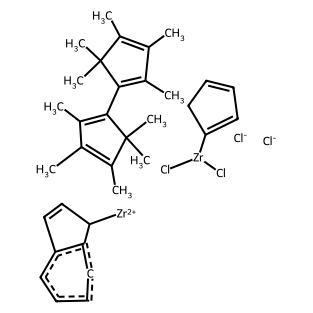 CC1=C(C)C(C)(C)C(C2=C(C)C(C)=C(C)C2(C)C)=C1C.[Cl-].[Cl-].[Cl][Zr]([Cl])[C]1=CC=CC1.[Zr+2][CH]1C=Cc2ccccc21